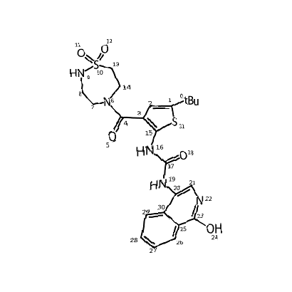 CC(C)(C)c1cc(C(=O)N2CCNS(=O)(=O)CC2)c(NC(=O)Nc2cnc(O)c3ccccc23)s1